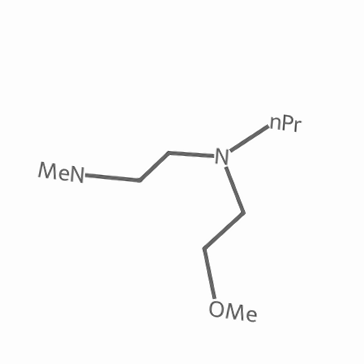 CCCN(CCNC)CCOC